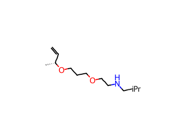 C=C[C@@H](C)OCCCOCCNCC(C)C